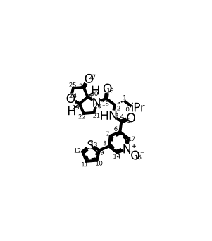 CC(C)C[C@H](NC(=O)c1cc(-c2cccs2)c[n+]([O-])c1)C(=O)N1CC[C@H]2OCC(=O)[C@H]21